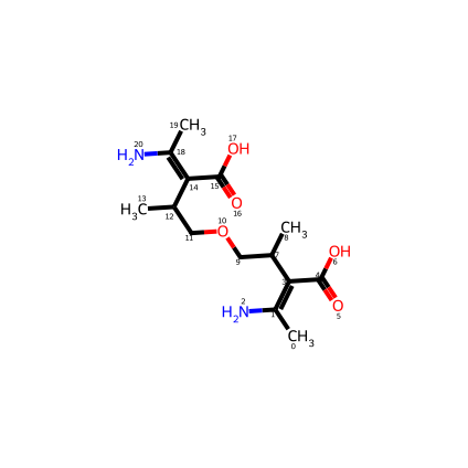 CC(N)=C(C(=O)O)C(C)COCC(C)C(C(=O)O)=C(C)N